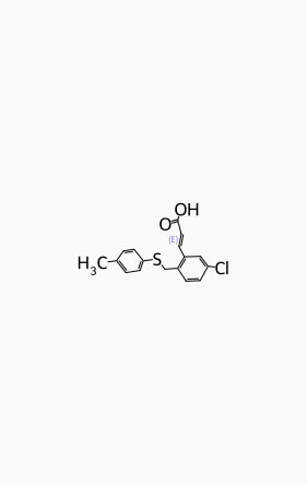 Cc1ccc(SCc2ccc(Cl)cc2/C=C/C(=O)O)cc1